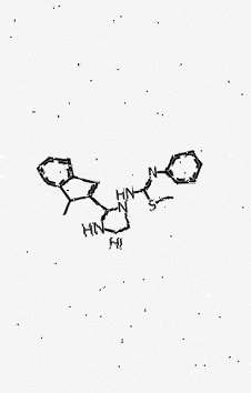 CSC(=Nc1ccccc1)NN1CCNC1C1=Cc2ccccc2C1C.I